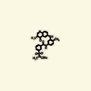 CON(C)S(=O)(=O)c1cccc(C(=O)Nc2ccc(C)c(Nc3ccc4ncn(C)c(=O)c4c3)c2)c1